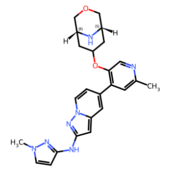 Cc1cc(-c2ccn3nc(Nc4ccn(C)n4)cc3c2)c(OC2C[C@H]3COC[C@@H](C2)N3)cn1